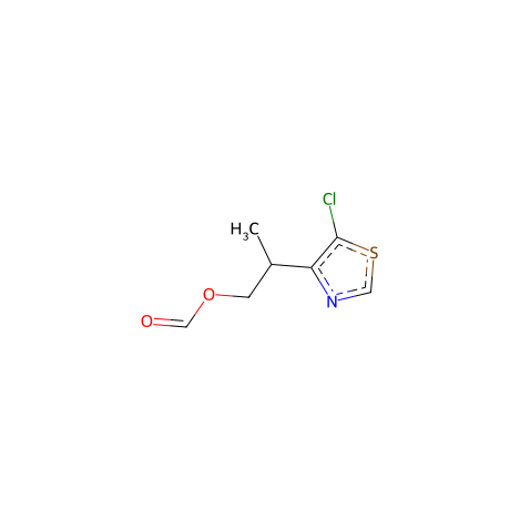 CC(COC=O)c1ncsc1Cl